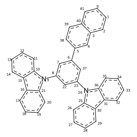 c1ccc2cc(-c3cc(-n4c5ccccc5c5ccccc54)cc(-n4c5ccccc5c5ccccc54)c3)ccc2c1